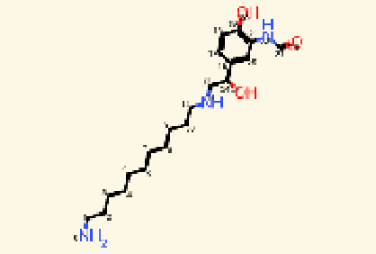 NCCCCCCCCCCCNCC(O)c1ccc(O)c(NC=O)c1